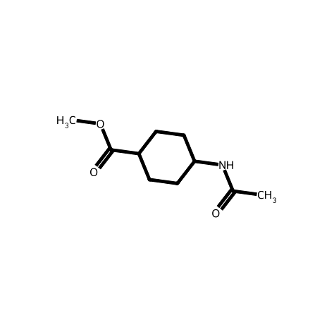 COC(=O)C1CCC(NC(C)=O)CC1